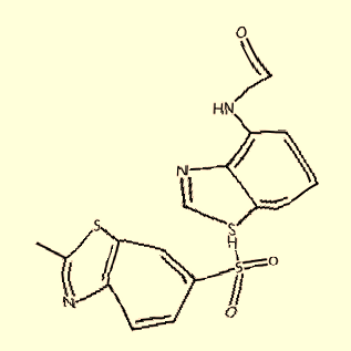 Cc1nc2ccc(S(=O)(=O)[SH]3C=Nc4c(NC=O)cccc43)cc2s1